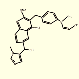 COc1nc2ccc(C(O)c3cnnn3C)cc2c(Cl)c1Cc1ccc(N(N)/C=C\S)cc1